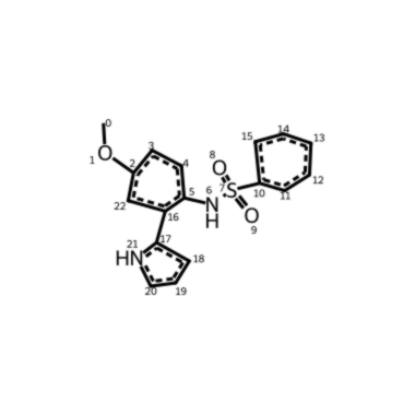 COc1ccc(NS(=O)(=O)c2ccccc2)c(-c2ccc[nH]2)c1